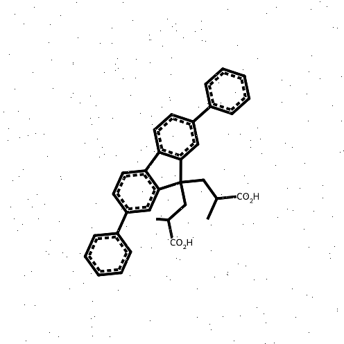 CC(CC1(CC(C)C(=O)O)c2cc(-c3ccccc3)ccc2-c2ccc(-c3ccccc3)cc21)C(=O)O